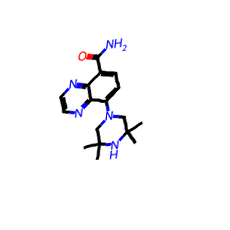 CC1(C)CN(c2ccc(C(N)=O)c3nccnc23)CC(C)(C)N1